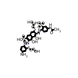 CC(=O)Nc1ccc(/N=N/c2c(SOOO)cc3cc(S(=O)(=O)O)c(/N=N/c4ccc(N)cc4SOOO)c(O)c3c2O)c(S(=O)(=O)O)c1